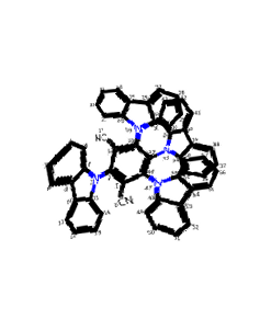 N#Cc1c(-n2c3ccccc3c3ccccc32)c(C#N)c(-n2c3ccccc3c3ccccc32)c(-n2c3ccccc3c3ccccc32)c1-n1c2ccccc2c2ccccc21